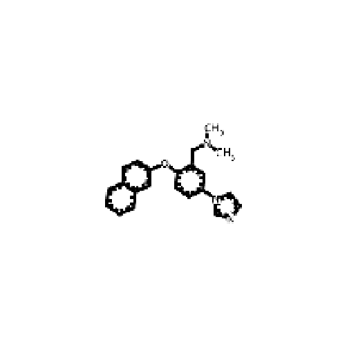 CN(C)Cc1cc(-n2ccnc2)ccc1Oc1ccc2ccccc2c1